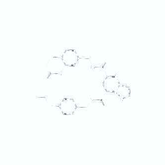 O=C1COc2ccc(CNC(=O)c3cc(C(=O)NCc4ccc(OC(F)F)cc4)n4nccc4n3)cc2N1